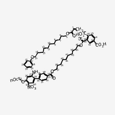 C=CC(=O)OCCCCCCCCCCCOc1ccccc1.CCCCCCCCOc1cc(N)c(-c2ccc(C(=O)OCCCCCCCCCCOC(=O)c3cc(C(=O)O)ccc3C(=O)O)cc2)cc1[N+](=O)[O-]